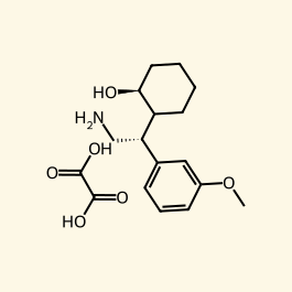 COc1cccc([C@H](CN)C2CCCC[C@@H]2O)c1.O=C(O)C(=O)O